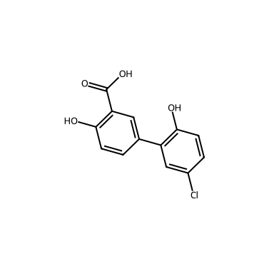 O=C(O)c1cc(-c2cc(Cl)ccc2O)ccc1O